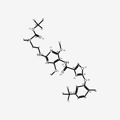 COc1nc(NCCN(C)C(=O)OC(C)(C)C)nc(OC)c1NC(=O)c1coc(Oc2cc(C(C)(C)C)ccc2C)n1